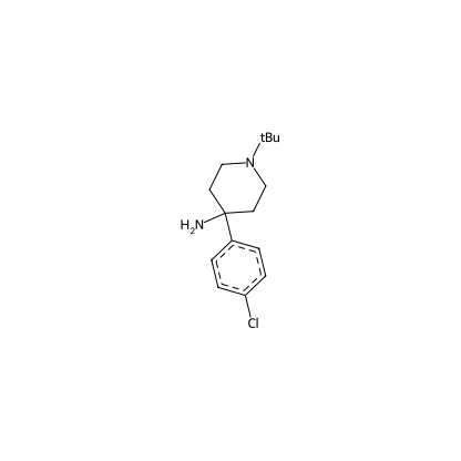 CC(C)(C)N1CCC(N)(c2ccc(Cl)cc2)CC1